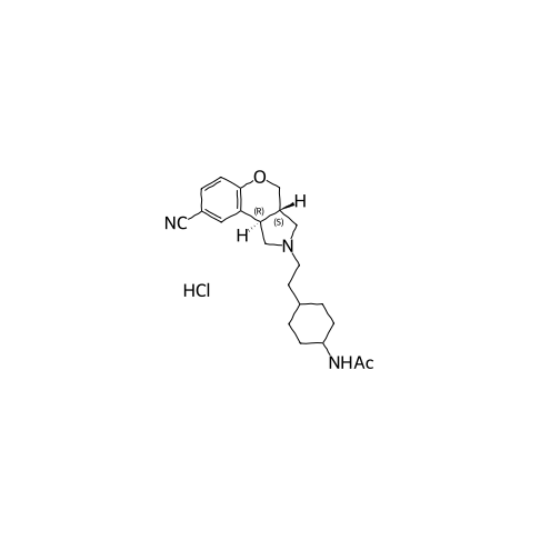 CC(=O)NC1CCC(CCN2C[C@H]3COc4ccc(C#N)cc4[C@@H]3C2)CC1.Cl